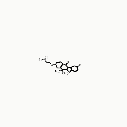 CCN(CC)CCOC1C=CC2=C(C1)C(C)(C)c1oc3ccc(F)cc3c1C2=O